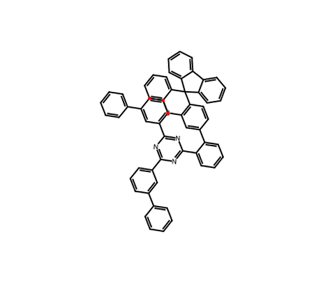 c1ccc(-c2cccc(-c3nc(-c4cccc(-c5ccccc5)c4)nc(-c4ccccc4-c4ccc5c(c4)Sc4ccccc4C54c5ccccc5-c5ccccc54)n3)c2)cc1